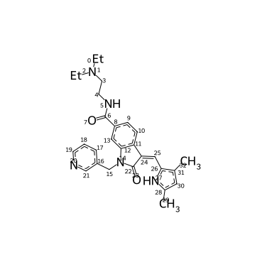 CCN(CC)CCNC(=O)c1ccc2c(c1)N(Cc1cccnc1)C(=O)/C2=C\c1[nH]c(C)cc1C